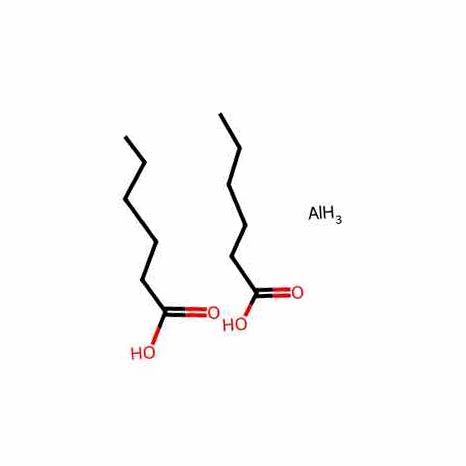 CCCCCC(=O)O.CCCCCC(=O)O.[AlH3]